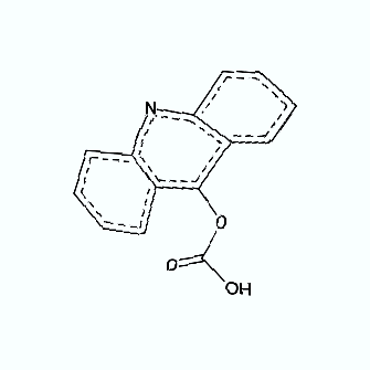 O=C(O)Oc1c2ccccc2nc2ccccc12